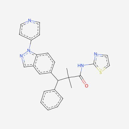 CC(C)(C(=O)Nc1nccs1)C(c1ccccc1)c1ccc2c(cnn2-c2ccncc2)c1